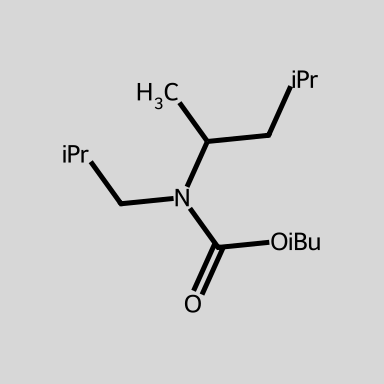 CC(C)COC(=O)N(CC(C)C)C(C)CC(C)C